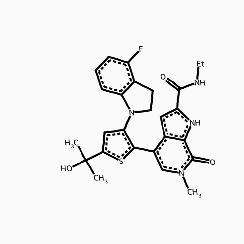 CCNC(=O)c1cc2c(-c3sc(C(C)(C)O)cc3N3CCc4c(F)cccc43)cn(C)c(=O)c2[nH]1